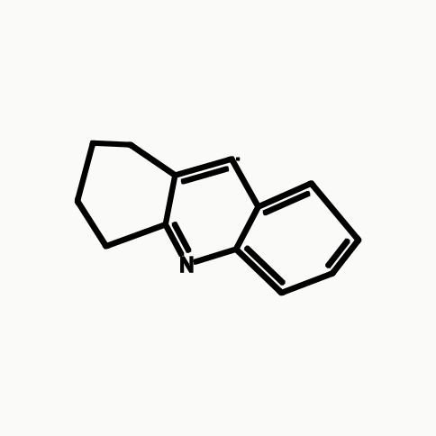 [c]1c2c(nc3ccccc13)CCCC2